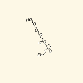 CC/C=C\CC1C(=O)CCC1COC(=O)CCOCCOCCOCCO